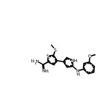 COc1cccc(Nc2cc(-c3cc(C(=N)N)sc3SC)c[nH]2)c1